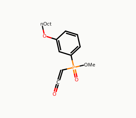 CCCCCCCCOc1cccc(P(=O)(C=C=O)OC)c1